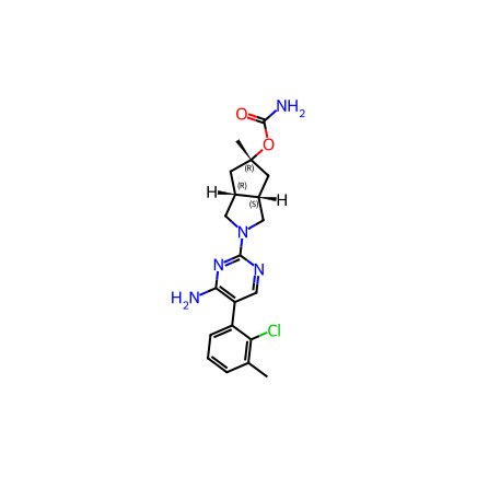 Cc1cccc(-c2cnc(N3C[C@@H]4C[C@](C)(OC(N)=O)C[C@@H]4C3)nc2N)c1Cl